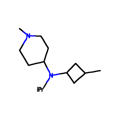 CC1CC(N(C(C)C)C2CCN(C)CC2)C1